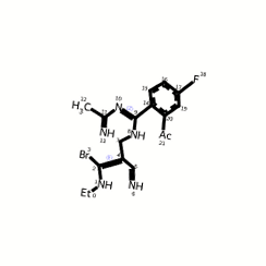 CCN/C(Br)=C(\C=N)CN/C(=N\C(C)=N)c1ccc(F)cc1C(C)=O